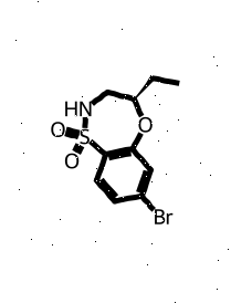 CC[C@@H]1CNS(=O)(=O)c2ccc(Br)cc2O1